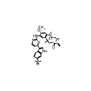 C=CC(=O)CC[C@](C)(CC)c1cc(Nc2nccc(-c3cn(C)c4cc(P(C)(C)=O)ccc34)n2)c(OC(F)(F)F)cc1N(C)CCN(C)C